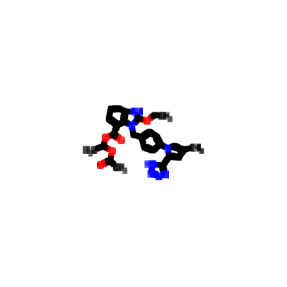 CCOC1Nc2cccc(C(=O)OC(C)OC(C)=O)c2N1Cc1ccc(-n2cc(C)cc2-c2nnn[nH]2)cc1